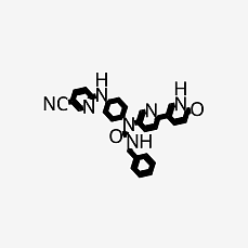 N#Cc1ccc(NC2CCC(N(C(=O)NCc3ccccc3)c3ccc(-c4ccc(=O)[nH]c4)nc3)CC2)nc1